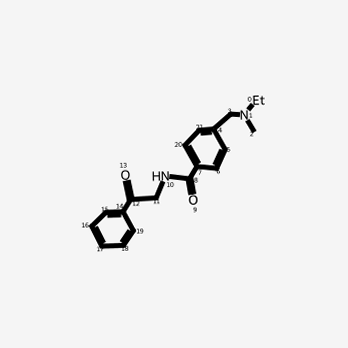 CCN(C)Cc1ccc(C(=O)NCC(=O)c2ccccc2)cc1